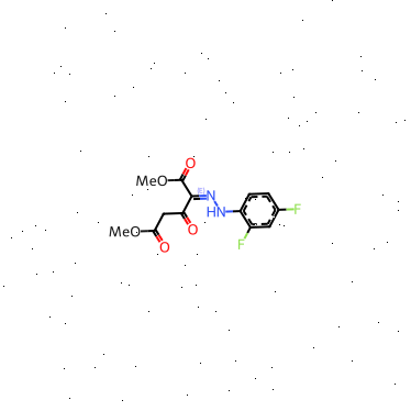 COC(=O)CC(=O)/C(=N\Nc1ccc(F)cc1F)C(=O)OC